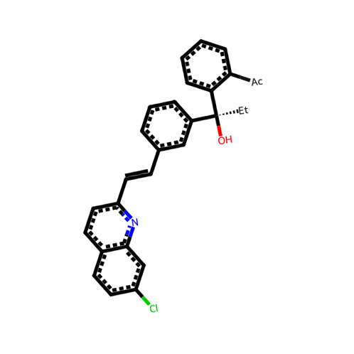 CC[C@](O)(c1cccc(C=Cc2ccc3ccc(Cl)cc3n2)c1)c1ccccc1C(C)=O